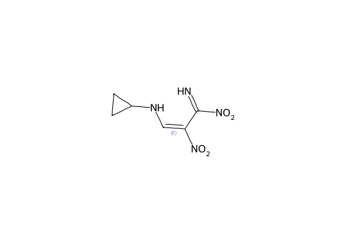 N=C(/C(=C\NC1CC1)[N+](=O)[O-])[N+](=O)[O-]